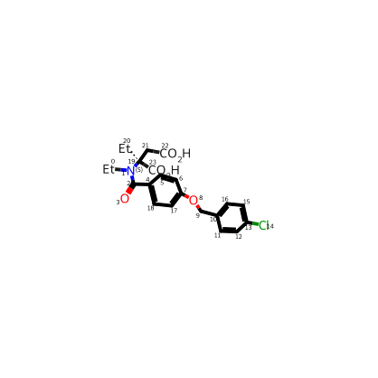 CCN(C(=O)c1ccc(OCc2ccc(Cl)cc2)cc1)[C@@](CC)(CC(=O)O)C(=O)O